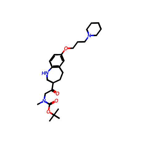 CN(CC(=O)C1CCc2cc(OCCCN3CCCCC3)ccc2NC1)C(=O)OC(C)(C)C